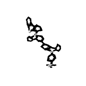 C[Si](C)(C)c1ccc(-n2c3ccccc3c3cc(-c4ccc5c(c4)c4ccccc4n5-c4cccc5c4oc4ccccc45)ccc32)cc1